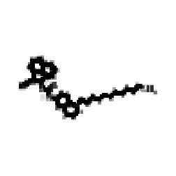 CCCCCCCCCCCCN1CCCc2cc(NC(=O)OC3c4cccc5cccc(c45)C3C#N)ccc21